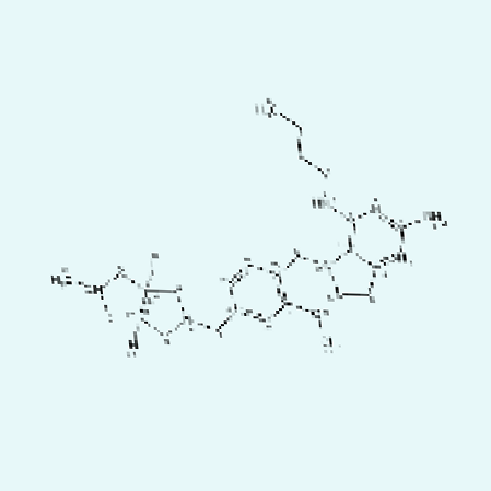 CCCCNc1nc(N)nc2cnn(Cc3ccc(CN4C[C@H]5CN(C)C[C@H]5C4)cc3OC)c12